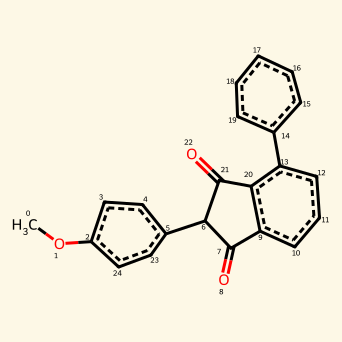 COc1ccc(C2C(=O)c3cccc(-c4ccccc4)c3C2=O)cc1